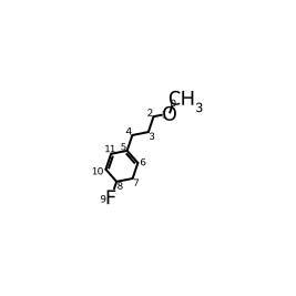 COCCCC1=CCC(F)C=C1